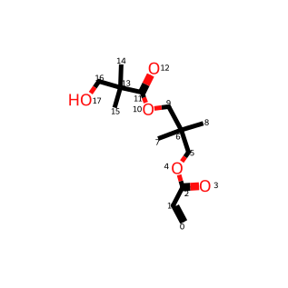 C=CC(=O)OCC(C)(C)COC(=O)C(C)(C)CO